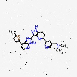 Cc1ccc(-c2ccnc3[nH]c(-c4n[nH]c5ccc(-c6cncc(CN(C)C)c6)nc45)nc23)s1